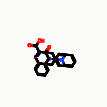 O=C(O)c1nc2ccccc2n(C2=CC3=CC=CC(=C2)N3C2CC3CCCC(C3)C2)c1=O